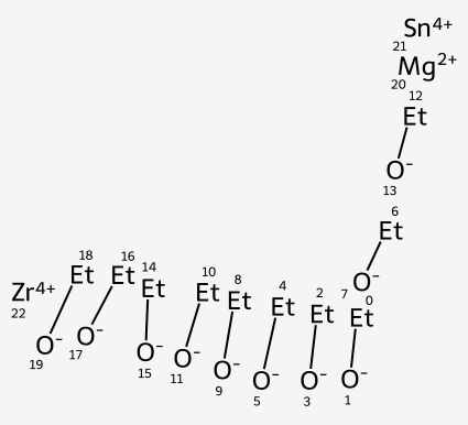 CC[O-].CC[O-].CC[O-].CC[O-].CC[O-].CC[O-].CC[O-].CC[O-].CC[O-].CC[O-].[Mg+2].[Sn+4].[Zr+4]